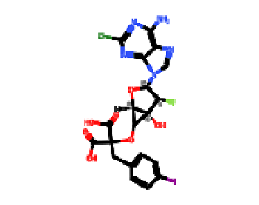 Nc1nc(Cl)nc2c1ncn2[C@@H]1O[C@@H]2C(OC(Cc3ccc(I)cc3)(C(=O)O)C(=O)O)[C@]2(O)[C@@H]1F